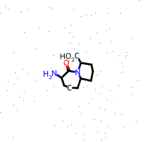 NC1CCCC2CCCC(C(=O)O)N2C1=O